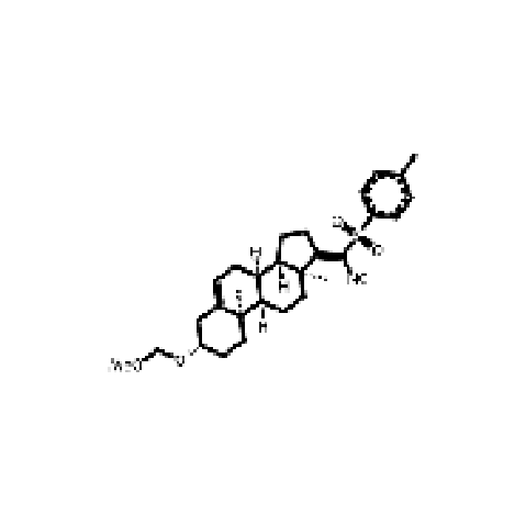 [C-]#[N+]C(=C1CC[C@H]2[C@@H]3CC=C4C[C@@H](OCOC)CC[C@]4(C)[C@H]3CC[C@]12C)S(=O)(=O)c1ccc(C)cc1